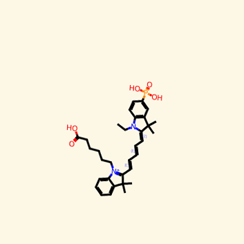 CCN1\C(=C/C=C/C=C/C2=[N+](CCCCCC(=O)O)c3ccccc3C2(C)C)C(C)(C)c2cc(P(=O)(O)O)ccc21